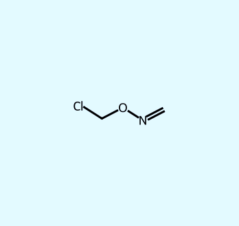 C=NOCCl